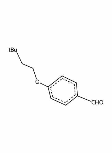 CC(C)(C)CCOc1ccc(C=O)cc1